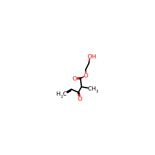 C=CC(=O)C(C)C(=O)OCCO